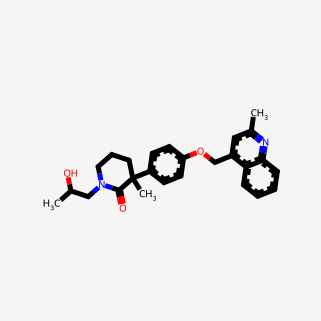 Cc1cc(COc2ccc(C3(C)CCCN(CC(C)O)C3=O)cc2)c2ccccc2n1